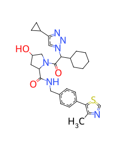 Cc1ncsc1-c1ccc(CNC(=O)C2CC(O)CN2C(=O)C(C2CCCCC2)n2cc(C3CC3)nn2)cc1